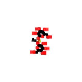 OC[C@H]1OC(OSOC2O[C@H](CO)[C@@H](O)[C@H](O)[C@H]2O)[C@H](O)[C@@H](O)[C@@H]1O.[Au]